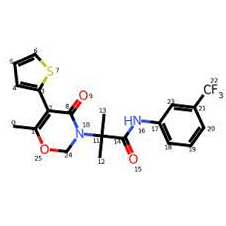 CC1=C(c2cccs2)C(=O)N(C(C)(C)C(=O)Nc2cccc(C(F)(F)F)c2)CO1